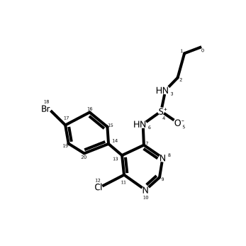 CCCN[S+]([O-])Nc1ncnc(Cl)c1-c1ccc(Br)cc1